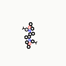 CC(C)c1ccc(N(c2cc3c4ccccc4c(N(c4cccc5c4oc4ccccc45)C4CCC(C(C)C)CC4)cc3c3ccccc23)c2cccc3c2oc2ccccc23)cc1